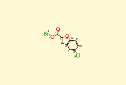 O=C(OBr)c1cc2cc(Cl)ccc2o1